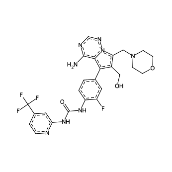 Nc1ncnn2c(CN3CCOCC3)c(CO)c(-c3ccc(NC(=O)Nc4cc(C(F)(F)F)ccn4)c(F)c3)c12